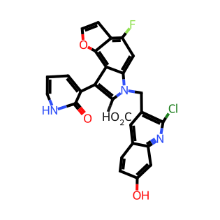 O=C(O)c1c(-c2ccc[nH]c2=O)c2c3occc3c(F)cc2n1Cc1cc2ccc(O)cc2nc1Cl